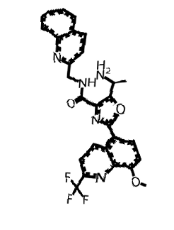 COc1ccc(-c2nc(C(=O)NCc3ccc4ccccc4n3)c([C@H](C)N)o2)c2ccc(C(F)(F)F)nc12